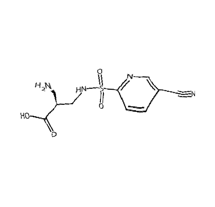 N#Cc1ccc(S(=O)(=O)NC[C@H](N)C(=O)O)nc1